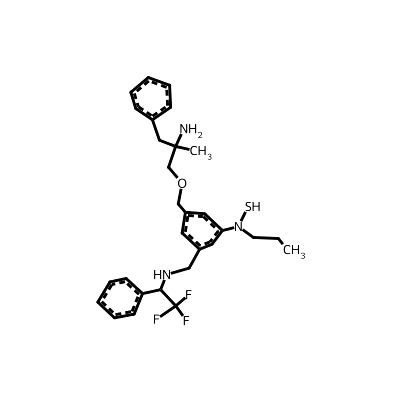 CCCN(S)c1cc(CNC(c2ccccc2)C(F)(F)F)cc(COCC(C)(N)Cc2ccccc2)c1